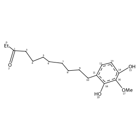 CCC(=O)CCCCCCCCc1ccc(O)c(OC)c1O